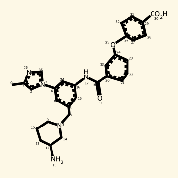 Cc1cn(-c2cc(CN3CCCC(N)C3)cc(NC(=O)c3cccc(Oc4ccc(C(=O)O)cc4)c3)c2)cn1